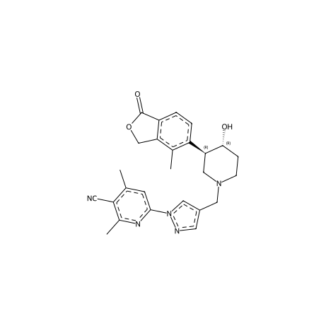 Cc1cc(-n2cc(CN3CC[C@@H](O)[C@H](c4ccc5c(c4C)COC5=O)C3)cn2)nc(C)c1C#N